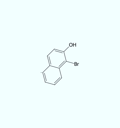 Oc1ccc2[c]cccc2c1Br